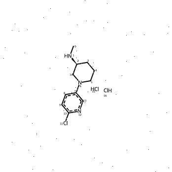 CN[C@H]1CCCN(c2ccc(Cl)nc2)C1.Cl.Cl